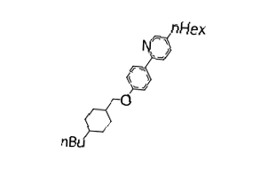 CCCCCCc1ccc(-c2ccc(OCC3CCC(CCCC)CC3)cc2)nc1